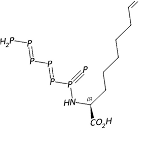 C=CCCCCC[C@H](NP(#P)P=PP=PP)C(=O)O